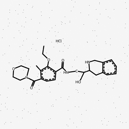 CCOc1c(C(=O)NCC(O)C2Cc3ccccc3CN2)ccc(C(=O)N2CCOCC2)c1C.Cl